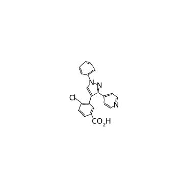 O=C(O)c1ccc(Cl)c(-c2cn(-c3ccccc3)nc2-c2ccncc2)c1